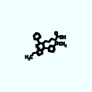 CCc1ccc2c(-c3cccc(OC)c3)c(CCCCC(=O)O)c(-c3ccccc3)nn12